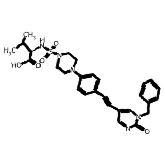 CC(C)[C@@H](NS(=O)(=O)N1CCN(c2ccc(C#Cc3cnc(=O)n(Cc4ccccc4)c3)cc2)CC1)C(=O)O